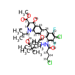 COC(=O)c1cn([C@H](CO[Si](C)(C)C(C)(C)C)C(C)C)c2cc(OC)c(Cc3cc(NC(=O)CCCCl)c(F)c(Cl)c3F)cc2c1=O